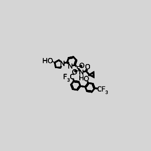 O=C(NS(=O)(=O)c1cccc(N2CC[C@H](O)C2)n1)C1(Oc2cc(C(F)(F)F)ccc2-c2cccc(C(F)(F)F)c2)CC1